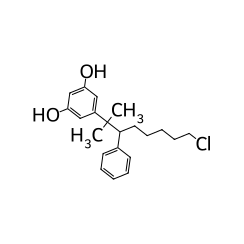 CC(C)(c1cc(O)cc(O)c1)C(CCCCCCl)c1ccccc1